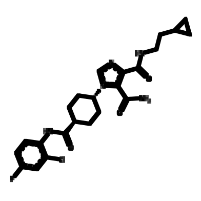 NC(=O)c1c(C(=O)NCCC2CC2)ncn1[C@H]1CC[C@H](C(=O)Nc2ccc(F)cc2Cl)CC1